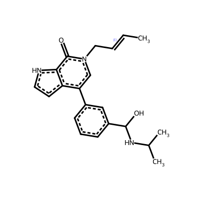 C/C=C/Cn1cc(-c2cccc(C(O)NC(C)C)c2)c2cc[nH]c2c1=O